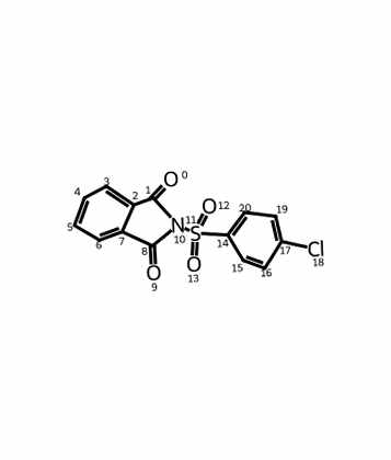 O=C1c2ccccc2C(=O)N1S(=O)(=O)c1ccc(Cl)cc1